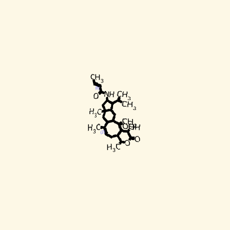 C=C1C2CC3C(C(C)C)C(NC(=O)/C=C/C)CC3(C)CC2/C(C)=C\CC2C(C)OC(=O)C(O)C12O